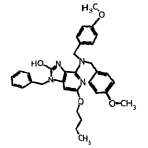 CCCCOc1cc2c(nc(O)n2Cc2ccccc2)c(N(Cc2ccc(OC)cc2)Cc2ccc(OC)cc2)n1